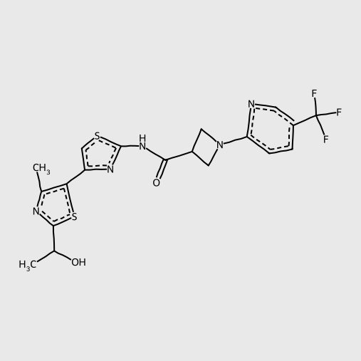 Cc1nc(C(C)O)sc1-c1csc(NC(=O)C2CN(c3ccc(C(F)(F)F)cn3)C2)n1